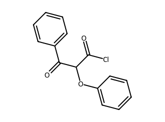 O=C(Cl)C(Oc1ccccc1)C(=O)c1ccccc1